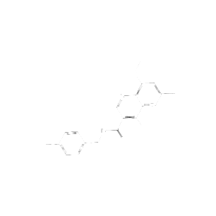 COc1cc(I)cc2c(O)c(C(=O)NCc3ccc(Cl)cc3)cnc12